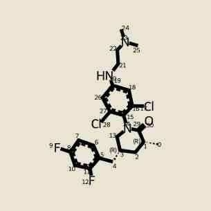 C[C@@H]1C[C@H](Cc2ccc(F)cc2F)CN(c2c(Cl)cc(NCCN(C)C)cc2Cl)C1=O